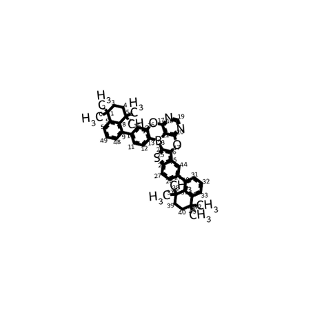 CC1(C)CCC(C)(C)c2c(-c3ccc4c(c3)Oc3ncnc5c3B4c3sc4ccc(-c6cccc7c6C(C)(C)CCC7(C)C)cc4c3O5)cccc21